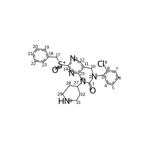 O=C1N(c2ccccc2Cl)Cc2cnc([S+]([O-])Cc3ccccc3)nc2N1C1CCNCC1